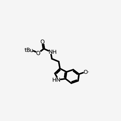 CC(C)(C)OC(=O)NCCc1c[nH]c2ccc([O])cc12